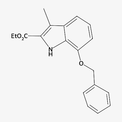 CCOC(=O)c1[nH]c2c(OCc3ccccc3)cccc2c1C